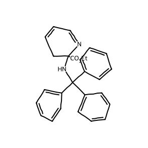 CCOC(=O)C1(NC(c2ccccc2)(c2ccccc2)c2ccccc2)CC=CC=N1